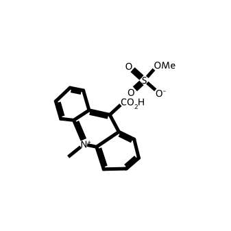 COS(=O)(=O)[O-].C[n+]1c2ccccc2c(C(=O)O)c2ccccc21